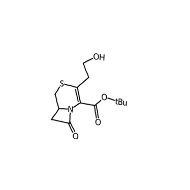 CC(C)(C)OC(=O)C1=C(CCO)SCC2CC(=O)N12